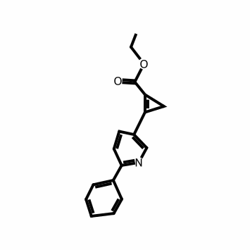 CCOC(=O)C1=C(c2ccc(-c3ccccc3)nc2)C1